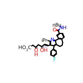 CCCCNC(=O)c1ccc2c(c1)-c1nc(C(C)C)c(/C=C/[C@@H](O)C[C@@H](O)CC(=O)O)c(-c3ccc(F)cc3)c1CCC2